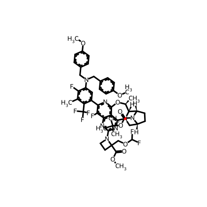 COC(=O)C1(COC(F)F)CCN1c1nc2c3c(nc(-c4cc(N(Cc5ccc(OC)cc5)Cc5ccc(OC)cc5)c(F)c(C)c4C(F)(F)F)c(F)c3n1)O[C@@H](C)[C@@H]1[C@@H]3CC[C@H](CN21)N3C(=O)OC(C)(C)C